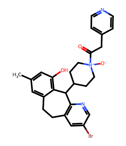 Cc1cc(O)c2c(c1)CCc1cc(Br)cnc1C2C1CC[N+]([O-])(C(=O)Cc2ccncc2)CC1